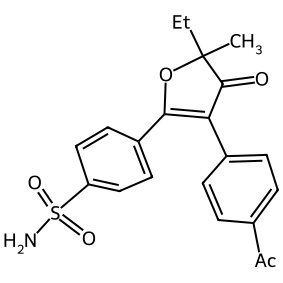 CCC1(C)OC(c2ccc(S(N)(=O)=O)cc2)=C(c2ccc(C(C)=O)cc2)C1=O